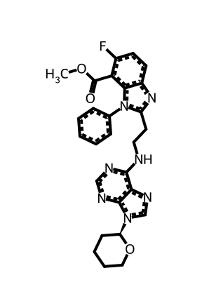 COC(=O)c1c(F)ccc2nc(CCNc3ncnc4c3ncn4[C@@H]3CCCCO3)n(-c3ccccc3)c12